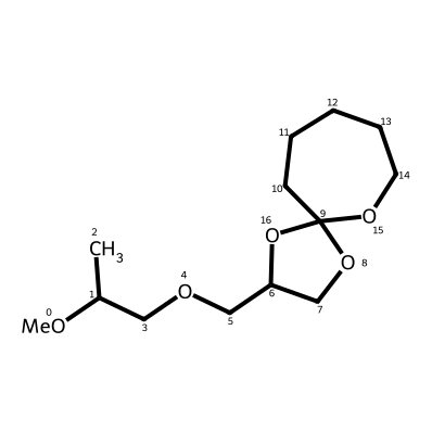 COC(C)COCC1COC2(CCCCCO2)O1